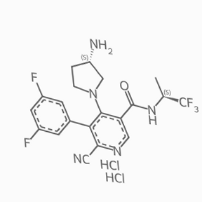 C[C@H](NC(=O)c1cnc(C#N)c(-c2cc(F)cc(F)c2)c1N1CC[C@H](N)C1)C(F)(F)F.Cl.Cl